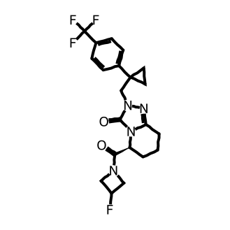 O=C([C@@H]1CCCc2nn(CC3(c4ccc(C(F)(F)F)cc4)CC3)c(=O)n21)N1CC(F)C1